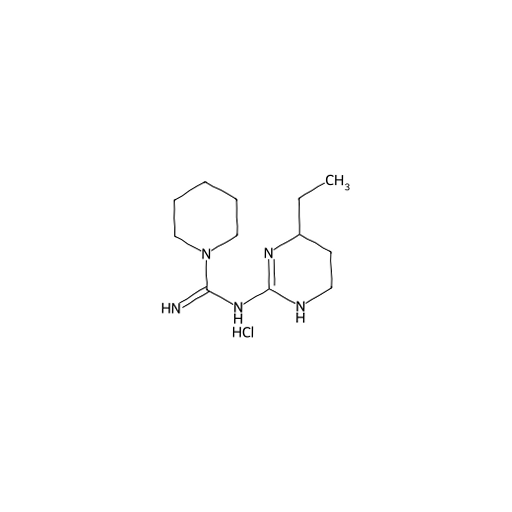 CCC1CCNC(NC(=N)N2CCCCC2)=N1.Cl